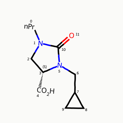 CCCN1C[C@@H](C(=O)O)N(CC2CC2)C1=O